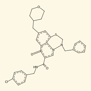 O=C(NCc1ccc(Cl)cc1)c1cn2c3c(cc(CC4CCOCC4)cc3c1=O)SCN2Cc1ccccc1